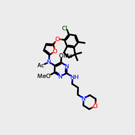 COc1nc(NCCCN2CCOCC2)nc(OC)c1N(C(C)=O)c1ccc(Oc2c(Cl)cc(C)c3c2CCC3(C)C)o1